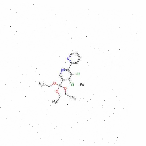 CCO[Si](OCC)(OCC)c1cnc(-c2ccccn2)c(Cl)c1Cl.[Pd]